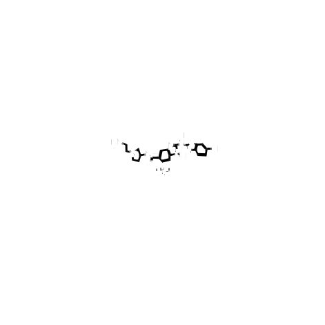 Cl.Cl.Cl.Cn1c(Nc2nc3ccc(Cl)cc3s2)nc2cc(C(=O)NC3CCN(CCN)C3)ccc21